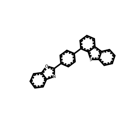 c1ccc2oc(-c3ccc(-c4cccc5c4sc4ccccc45)cc3)nc2c1